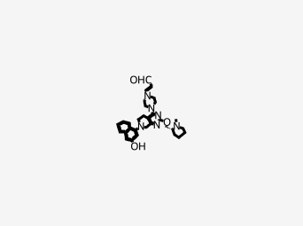 CN1CCCC[C@@H]1COc1nc2c(c(N3CCN(C=CC=O)CC3)n1)CCN(c1cc(O)cc3ccccc13)C2